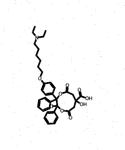 CCN(CC)CCCCCCOc1ccc(C2(c3ccccc3)OC(=O)CC(O)(C(=O)O)CC(=O)OC2(Cl)c2ccccc2)cc1